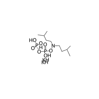 CC(C)CCN(CCC(C)C)OP(=O)(O)OP(=O)(O)O.[KH].[KH]